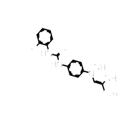 CCCC/C(N)=C/N(N)c1ccc(NC(=O)Nc2ccccc2C(F)(F)F)cc1